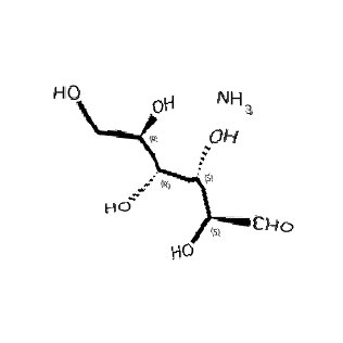 N.O=C[C@@H](O)[C@@H](O)[C@H](O)[C@H](O)CO